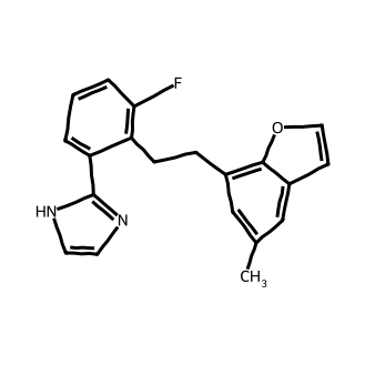 Cc1cc(CCc2c(F)cccc2-c2ncc[nH]2)c2occc2c1